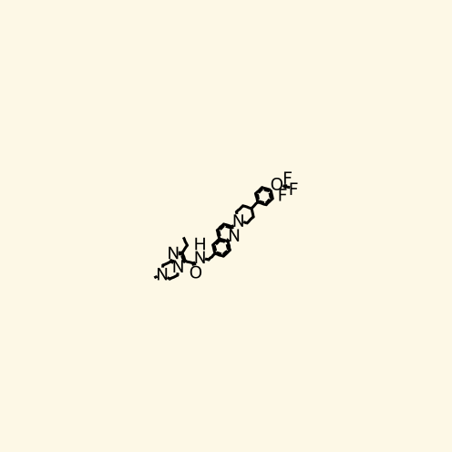 CCc1nc2n(c1C(=O)NCc1ccc3nc(N4CCC(c5ccc(OC(F)(F)F)cc5)CC4)ccc3c1)CCN(C)C2